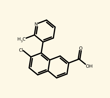 Cc1ncccc1-c1c(Cl)ccc2ccc(C(=O)O)cc12